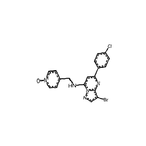 [O-][n+]1ccc(CNc2cc(-c3ccc(Cl)cc3)nc3c(Br)cnn23)cc1